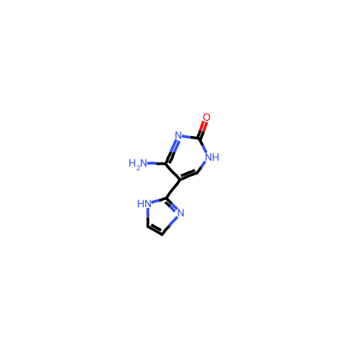 Nc1nc(=O)[nH]cc1-c1ncc[nH]1